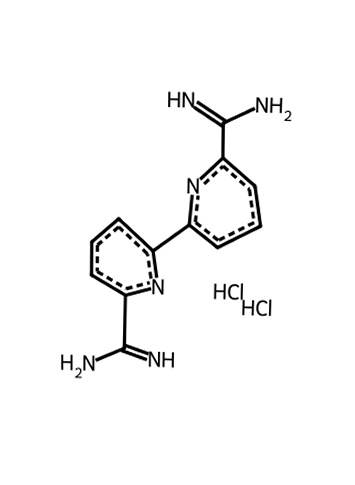 Cl.Cl.N=C(N)c1cccc(-c2cccc(C(=N)N)n2)n1